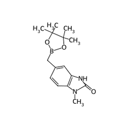 Cn1c(=O)[nH]c2cc(CB3OC(C)(C)C(C)(C)O3)ccc21